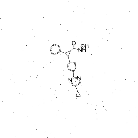 O=C(NO)C1C(c2ccccc2)C1c1ccc(-c2ncc(C3CC3)cn2)cc1